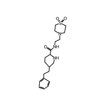 O=C(NCCN1CCS(=O)(=O)CC1)C1CCC(CCc2ccccc2)CN1